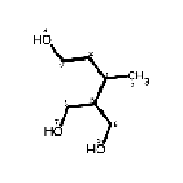 CC(CCO)C(CO)CO